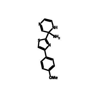 COc1ccc(-c2csc(C3(N)C=NC=CN3)n2)cc1